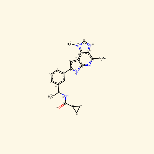 CNc1nc2[nH]c(-c3cccc(C(C)NC(=O)C4CC4)c3)cc2c2c1ncn2C